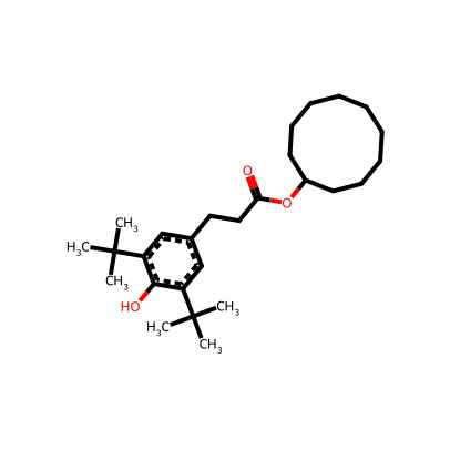 CC(C)(C)c1cc(CCC(=O)OC2CCCCCCCCC2)cc(C(C)(C)C)c1O